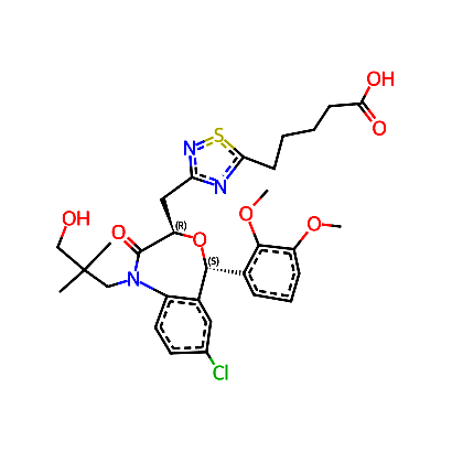 COc1cccc([C@H]2O[C@H](Cc3nsc(CCCCC(=O)O)n3)C(=O)N(CC(C)(C)CO)c3ccc(Cl)cc32)c1OC